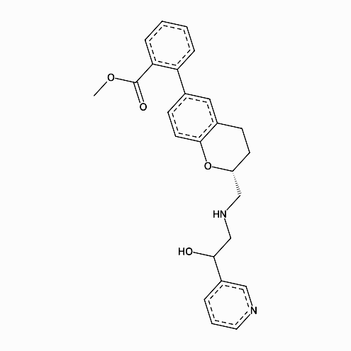 COC(=O)c1ccccc1-c1ccc2c(c1)CC[C@H](CNCC(O)c1cccnc1)O2